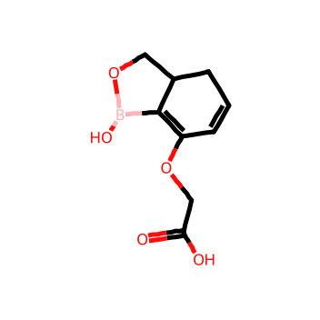 O=C(O)COC1=C2B(O)OCC2CC=C1